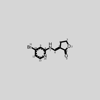 O=C1OCCC1=CNc1cc(Br)ccn1